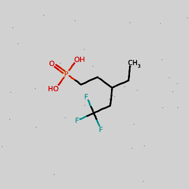 CCC(CCP(=O)(O)O)CC(F)(F)F